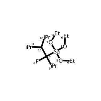 CCO[Si](OCC)(OCC)C(F)(C(C)C)C(C(C)C)C(C)C